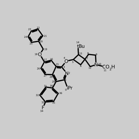 CC(C)c1nc(OC2CC3(CCN(C(=O)O)C3)C2C(C)(C)C)c2cc(OCc3ccccc3)ccc2c1-c1ccc(F)cc1